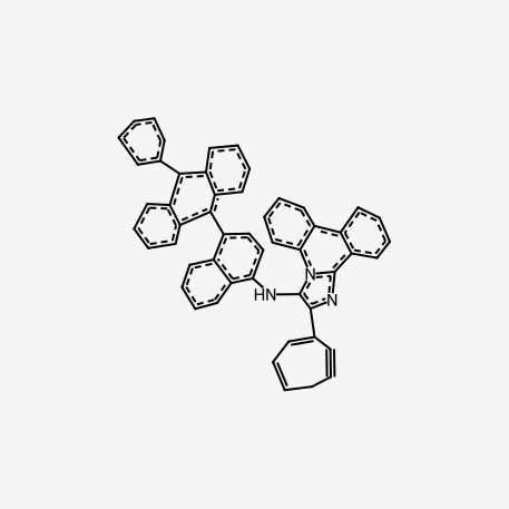 C1#CC(c2nc3c4ccccc4c4ccccc4n3c2Nc2ccc(-c3c4ccccc4c(-c4ccccc4)c4ccccc34)c3ccccc23)=CC=CC1